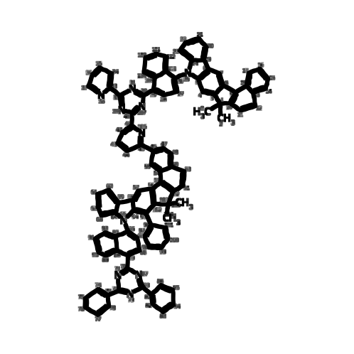 CC1(C)c2cc3c(cc2-c2c1ccc1ccccc21)c1ccccc1n3-c1ccc(-c2nc(-c3ccccn3)nc(-c3cccc(-c4ccc5ccc6c(c5c4)-c4cc5c7ccccc7n(-c7ccc(-c8nc(-c9ccccc9)nc(-c9ccccc9)n8)c8ccccc78)c5c(-c5ccccc5)c4C6(C)C)n3)n2)c2ccccc12